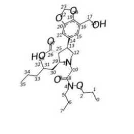 CCCON(CCC)C(=O)CN1C[C@H](c2cc(CO)c3c(c2)OCO3)[C@@H](C(=O)O)[C@@H]1CC(C)CCC